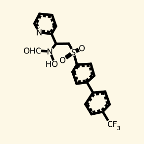 O=CN(O)C(CS(=O)(=O)c1ccc(-c2ccc(C(F)(F)F)cc2)cc1)c1ccccn1